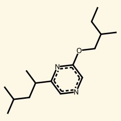 CCC(C)COc1cncc(C(C)CC(C)C)n1